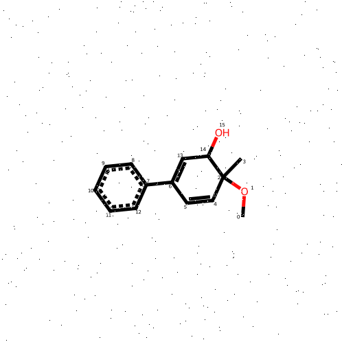 COC1(C)C=CC(c2ccccc2)=CC1O